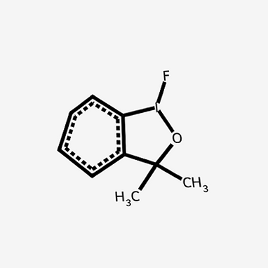 CC1(C)OI(F)c2ccccc21